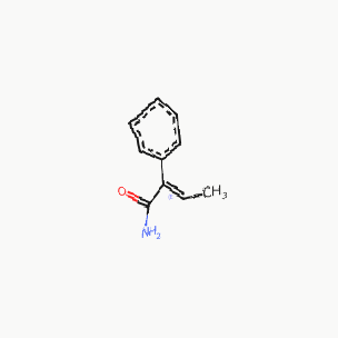 C/C=C(/C(N)=O)c1ccccc1